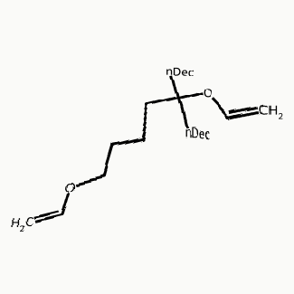 C=COCCCCC(CCCCCCCCCC)(CCCCCCCCCC)OC=C